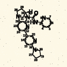 O=C(Nc1ccccn1)N1c2nc(-c3ccc(N4CCCC4)nc3)ccc2N2CC[C@H]1C2